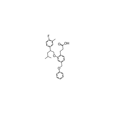 Cc1cc(C(COc2cc(COc3ccccc3)ccc2CCC(=O)O)CC(C)C)ccc1F